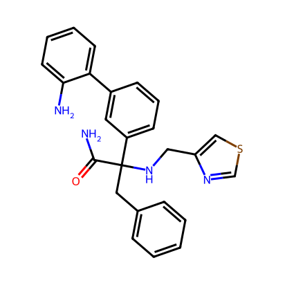 NC(=O)C(Cc1ccccc1)(NCc1cscn1)c1cccc(-c2ccccc2N)c1